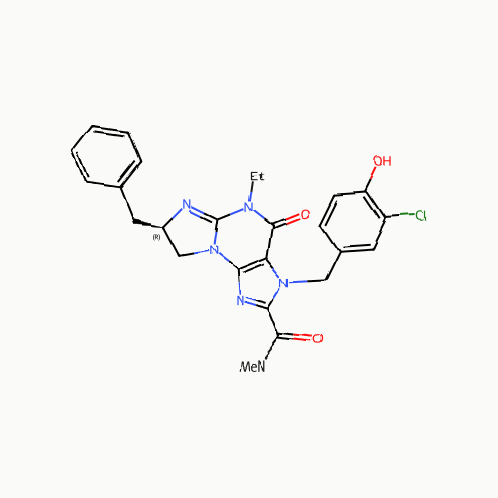 CCN1C(=O)c2c(nc(C(=O)NC)n2Cc2ccc(O)c(Cl)c2)N2C[C@@H](Cc3ccccc3)N=C12